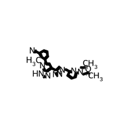 Cc1c(C#N)cccc1-c1cc(-c2cn(Cc3cccc(N4C[C@@H](C)O[C@@H](C)C4)n3)nn2)c2nc[nH]c2n1